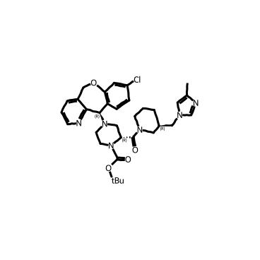 Cc1cn(C[C@@H]2CCCN(C(=O)[C@H]3CN([C@@H]4c5ccc(Cl)cc5OCc5cccnc54)CCN3C(=O)OC(C)(C)C)C2)cn1